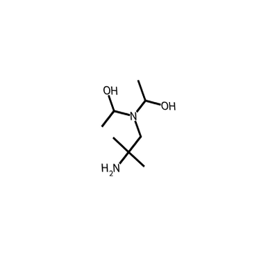 CC(O)N(CC(C)(C)N)C(C)O